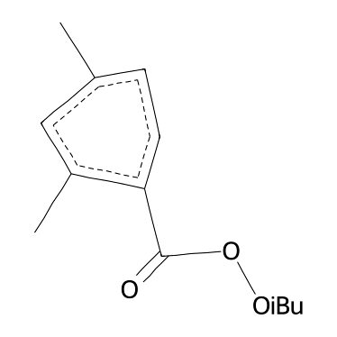 Cc1ccc(C(=O)OO[CH]C(C)C)c(C)c1